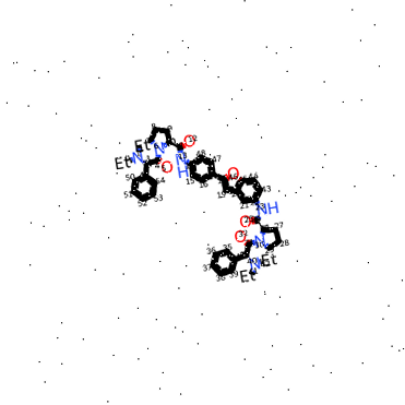 CCN(CC)[C@@H](C(=O)N1CCC[C@H]1C(=O)Nc1ccc(-c2cc3cc(NC(=O)[C@@H]4CCCN4C(=O)[C@@H](c4ccccc4)N(CC)CC)ccc3o2)cc1)c1ccccc1